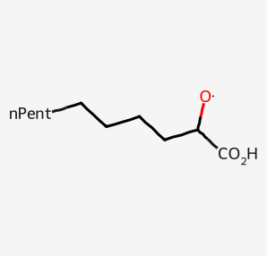 CCCCCCCCCC([O])C(=O)O